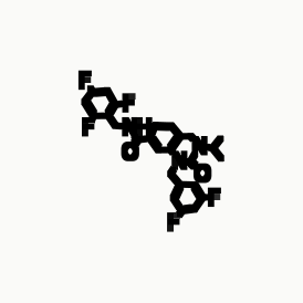 CC(C)N1Cc2ccc(C(=O)NCc3c(F)cc(F)cc3F)cc2N(Cc2cc(F)cc(F)c2)C1=O